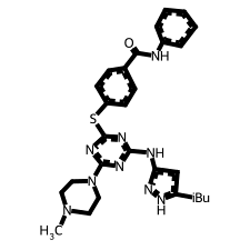 CCC(C)c1cc(Nc2nc(Sc3ccc(C(=O)Nc4ccccc4)cc3)nc(N3CCN(C)CC3)n2)n[nH]1